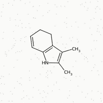 Cc1[nH]c2c(c1C)CCC=C2